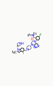 CCN(C(=O)c1cc(F)ccc1N1CCN(C2CCN(Cc3ccc4c(cc(C#N)n4C[C@@H]4CCNC4)c3C)CC2)c2ncncc21)C(C)C